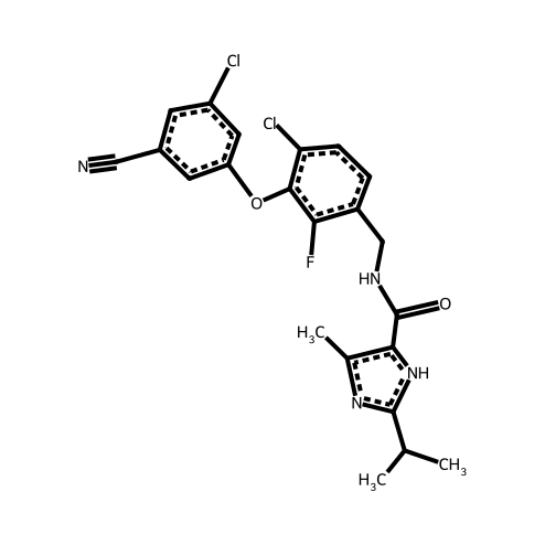 Cc1nc(C(C)C)[nH]c1C(=O)NCc1ccc(Cl)c(Oc2cc(Cl)cc(C#N)c2)c1F